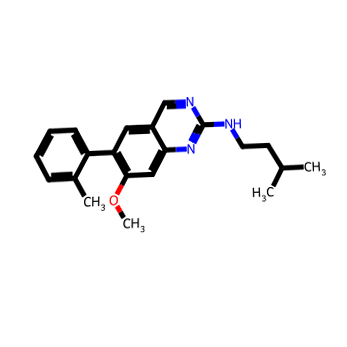 COc1cc2nc(NCCC(C)C)ncc2cc1-c1ccccc1C